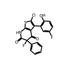 O=C1Nc2sc(Cl)c(-c3cc(F)ccc3O)c2C(=O)C1(F)c1ccccc1